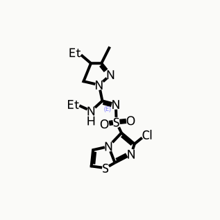 CCN/C(=N\S(=O)(=O)c1c(Cl)nc2sccn12)N1CC(CC)C(C)=N1